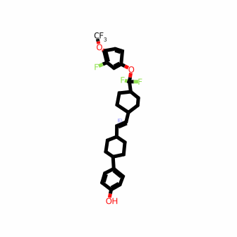 Oc1ccc(C2CCC(/C=C/C3CCC(C(F)(F)Oc4ccc(OC(F)(F)F)c(F)c4)CC3)CC2)cc1